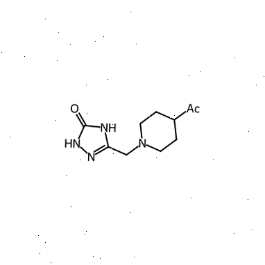 CC(=O)C1CCN(Cc2n[nH]c(=O)[nH]2)CC1